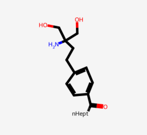 CCCCCCCC(=O)c1ccc(CCC(N)(CO)CO)cc1